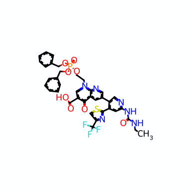 CCNC(=O)Nc1cc(-c2nc(C(F)(F)F)cs2)c(-c2cnc3c(c2)c(=O)c(C(=O)O)cn3CCOP(=O)(OCc2ccccc2)OCc2ccccc2)cn1